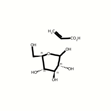 C=CC(=O)O.OC[C@H]1OC(O)[C@H](O)[C@@H](O)[C@@H]1O